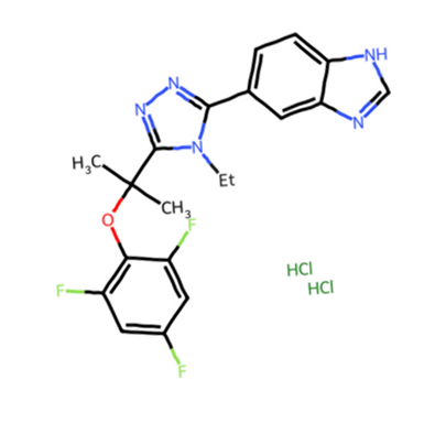 CCn1c(-c2ccc3[nH]cnc3c2)nnc1C(C)(C)Oc1c(F)cc(F)cc1F.Cl.Cl